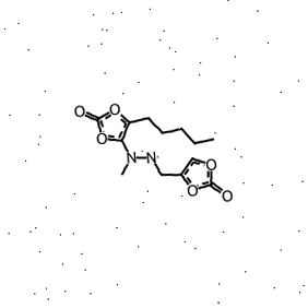 CCCCCc1oc(=O)oc1N(C)[N]Cc1coc(=O)o1